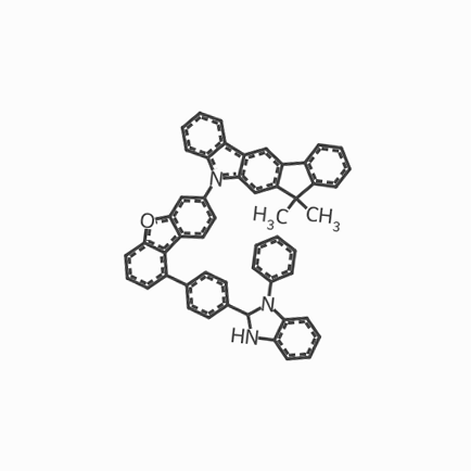 CC1(C)c2ccccc2-c2cc3c4ccccc4n(-c4ccc5c(c4)oc4cccc(-c6ccc(C7Nc8ccccc8N7c7ccccc7)cc6)c45)c3cc21